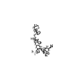 COc1cc(C=C2SC(NCCC(=O)N3CCOCC3)=NC2=O)ccc1Oc1ccc(C#N)cc1C(F)(F)F